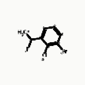 CC(F)c1cccc(Br)c1Cl